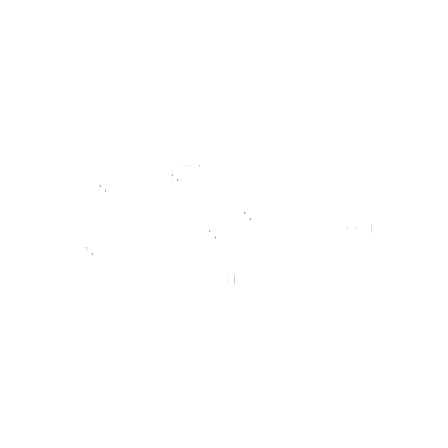 CC1CCC(C(=O)O)CN1N(C)c1ncnc2[nH]ccc12